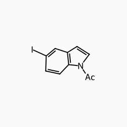 CC(=O)n1ccc2cc(I)ccc21